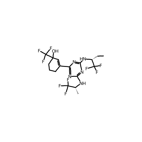 CC[C@@H](Nc1nc(N[C@H](C)C(F)(F)F)nc(C2=CC(O)(C(F)(F)F)CCC2)n1)C(F)(F)F